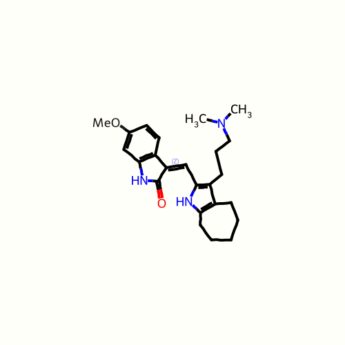 COc1ccc2c(c1)NC(=O)/C2=C\c1[nH]c2c(c1CCCN(C)C)CCCCC2